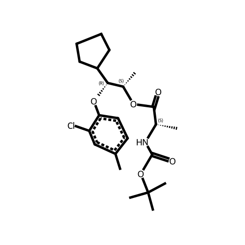 Cc1ccc(O[C@H](C2CCCC2)[C@H](C)OC(=O)[C@H](C)NC(=O)OC(C)(C)C)c(Cl)c1